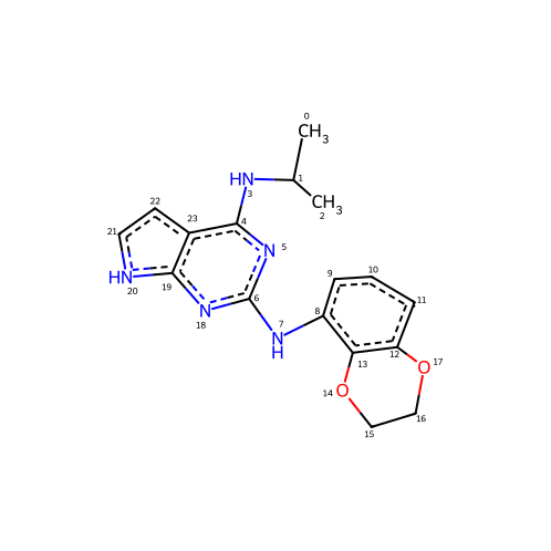 CC(C)Nc1nc(Nc2cc[c]c3c2OCCO3)nc2[nH]ccc12